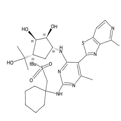 Cc1nc(NC2(CS(=O)(=O)C(C)(C)C)CCCCC2)nc(N[C@@H]2C[C@H](C(C)(C)O)[C@@H](O)[C@H]2O)c1-c1nc2c(C)nccc2s1